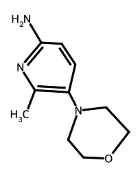 Cc1nc(N)ccc1N1CCOCC1